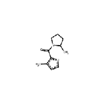 Cc1ccoc1C(=O)N1CCCC1C